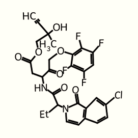 C#CC(C)(O)COC(=O)CC(NC(=O)C(CC)n1ccc2ccc(Cl)cc2c1=O)C(=O)COc1c(F)c(F)cc(F)c1F